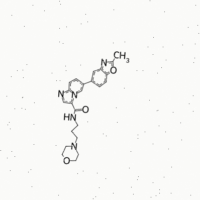 Cc1nc2cc(-c3ccc4ncc(C(=O)NCCCN5CCOCC5)n4c3)ccc2o1